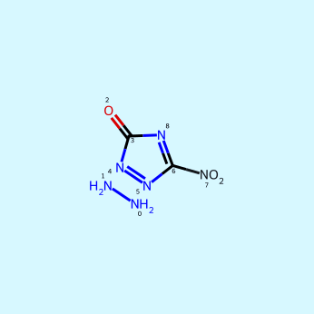 NN.O=C1N=NC([N+](=O)[O-])=N1